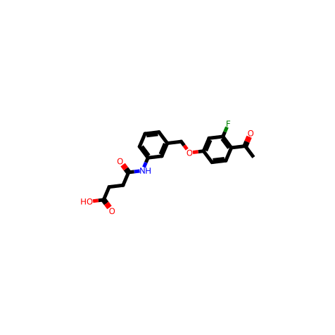 CC(=O)c1ccc(OCc2cccc(NC(=O)CCC(=O)O)c2)cc1F